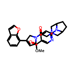 COC(=O)c1ccc(N2C3CCC2CN(CC(=O)N2CC=C(c4cccc5ccoc45)C2)C3)nc1